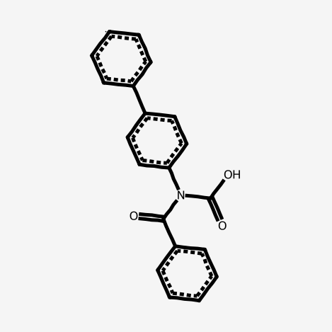 O=C(O)N(C(=O)c1ccccc1)c1ccc(-c2cc[c]cc2)cc1